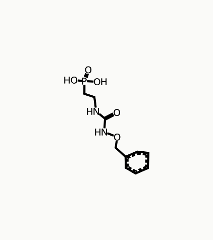 O=C(NCCP(=O)(O)O)NOCc1ccccc1